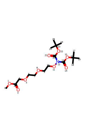 COC(=O)COCCOCCON(C(=O)OC(C)(C)C)C(=O)OC(C)(C)C